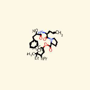 C=CCC(NC(=O)C(Cc1ccccc1)N=O)C(=O)N1CCCC1C(=O)OC(C)CC(CCC)C(C)(C)CC